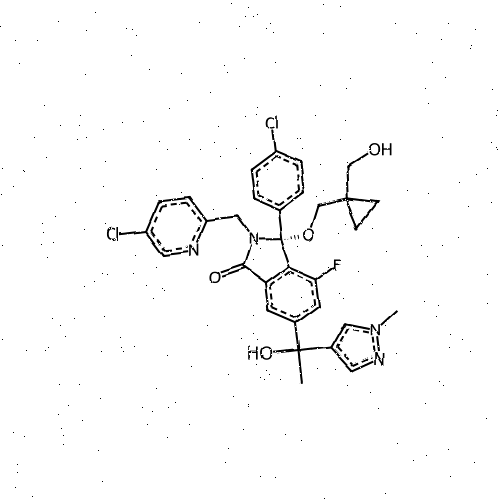 Cn1cc(C(C)(O)c2cc(F)c3c(c2)C(=O)N(Cc2ccc(Cl)cn2)[C@@]3(OCC2(CO)CC2)c2ccc(Cl)cc2)cn1